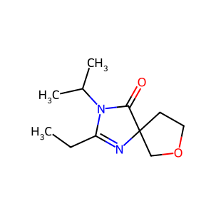 CCC1=NC2(CCOC2)C(=O)N1C(C)C